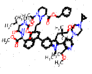 CCn1c(-c2cc(N3CCN(C4CC4)CC3)cnc2[C@H](C)OC)c(CC(C)(C)CO)c2cc(-c3cc(CCN4[C@@H](C(=O)OCc5ccccc5)CCCN4C(C)=O)cc(C[C@H](NC(=O)[C@H](C(C)C)N(C)C(=O)OCc4ccccc4)C(=O)OC)c3)ccc21